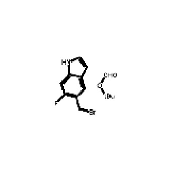 CC(C)(C)OC=O.Fc1cc2[nH]ccc2cc1CBr